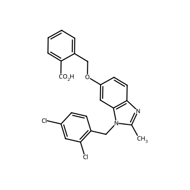 Cc1nc2ccc(OCc3ccccc3C(=O)O)cc2n1Cc1ccc(Cl)cc1Cl